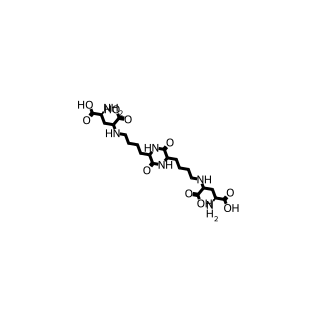 N[C@@H](CC(NCCCCC1NC(=O)C(CCCCNC(C[C@H](N)C(=O)O)C(=O)O)NC1=O)C(=O)O)C(=O)O